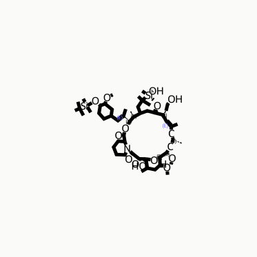 COC1CC(/C=C(\C)[C@H]2OC(=O)C3CCCCN3C(=O)C(=O)C3(O)O[C@@H](C(OC)CC3C)[C@@H](OC)C[C@@H](C)C/C(C)=C/[C@@H](CCO)C(=O)CC(CC(C)(C)[Si](C)(C)O)[C@H]2C)CCC1O[Si](C)(C)C(C)(C)C